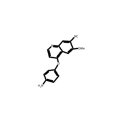 [C-]#[N+]c1cc2nccc(Oc3ccc(N)cc3)c2cc1OC